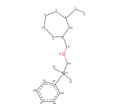 CCC1CCCCC(COC[Si](C)(C)c2ccccc2)C1